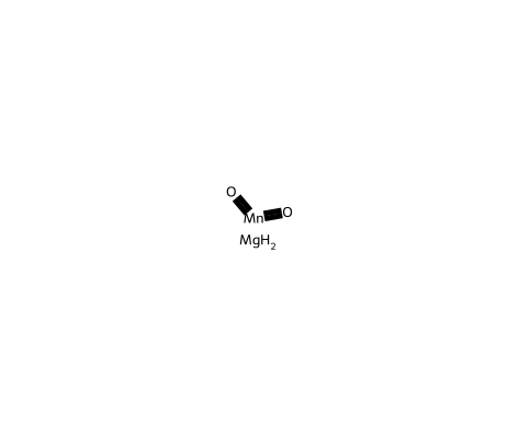 [MgH2].[O]=[Mn]=[O]